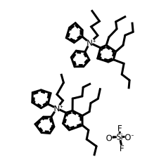 CCCCc1ccc([N+](CCCC)(c2ccccc2)c2ccccc2)c(CCCC)c1CCCC.CCCCc1ccc([N+](CCCC)(c2ccccc2)c2ccccc2)c(CCCC)c1CCCC.[O-][Si]([O-])(F)F